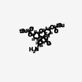 CC(C)(C)C(=O)Oc1ccc2c(c1)Oc1cc(OC(=O)C(C)(C)C)ccc1C21OC(=O)c2cc(N)ccc21